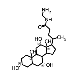 CC(CCC(=O)NCN)C1CCC2C3C(C[C@H](O)[C@]12C)[C@@]1(C)CC[C@@H](O)CC1C[C@H]3O